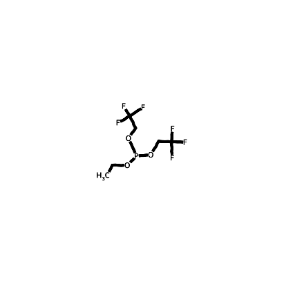 CCOP(OCC(F)(F)F)OCC(F)(F)F